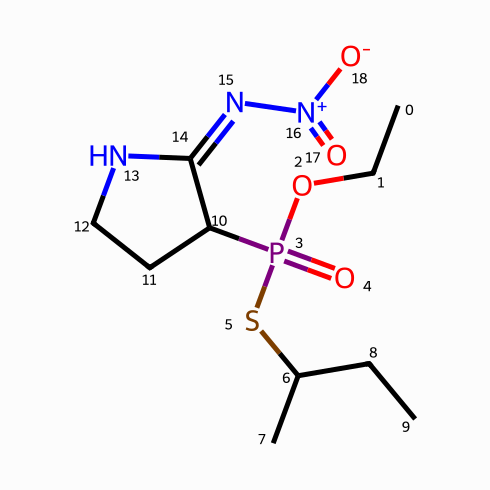 CCOP(=O)(SC(C)CC)C1CCN/C1=N/[N+](=O)[O-]